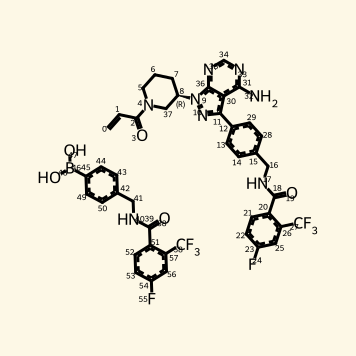 C=CC(=O)N1CCC[C@@H](n2nc(-c3ccc(CNC(=O)c4ccc(F)cc4C(F)(F)F)cc3)c3c(N)ncnc32)C1.O=C(NCc1ccc(B(O)O)cc1)c1ccc(F)cc1C(F)(F)F